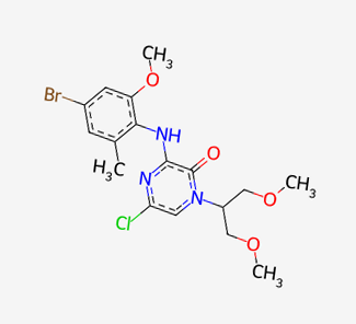 COCC(COC)n1cc(Cl)nc(Nc2c(C)cc(Br)cc2OC)c1=O